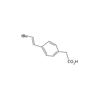 CC(C)(C)/C=C/c1ccc(CC(=O)O)cc1